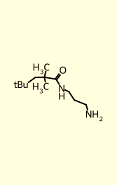 CC(C)(C)CC(C)(C)C(=O)NCCCN